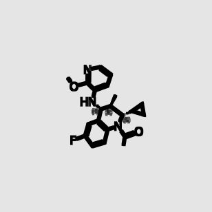 COc1ncccc1N[C@H]1c2cc(F)ccc2N(C(C)=O)[C@@H](C2CC2)[C@@H]1C